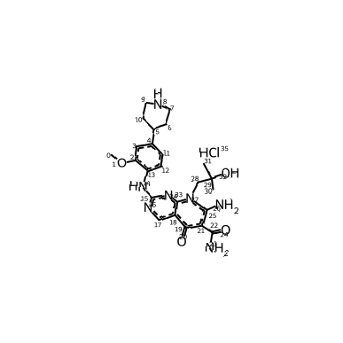 COc1cc(C2CCNCC2)ccc1Nc1ncc2c(=O)c(C(N)=O)c(N)n(CC(C)(C)O)c2n1.Cl